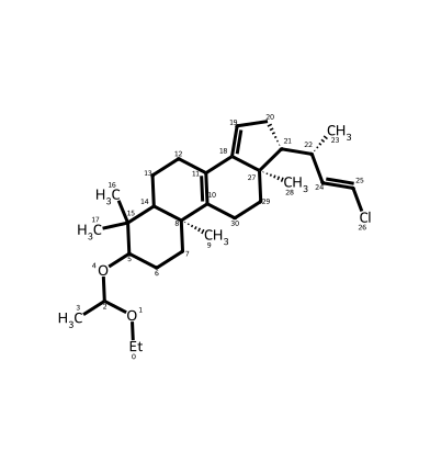 CCOC(C)OC1CC[C@]2(C)C3=C(CCC2C1(C)C)C1=CC[C@H]([C@H](C)/C=C/Cl)[C@@]1(C)CC3